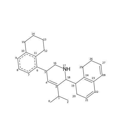 CC(C)C1=CC(c2cccc3c2CCCC3)CNC1C1CC=CC2=C1CCC=C2